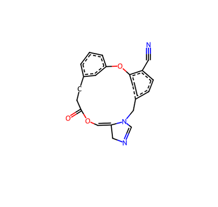 N#Cc1ccc2cc1Oc1cccc(c1)CCC(=O)OC=C1CN=CN1C2